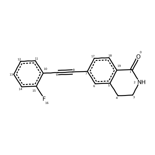 O=C1NCCc2cc(C#Cc3ccccc3F)ccc21